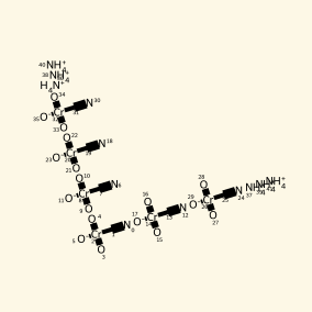 N#[C][Cr](=[O])(=[O])[O-].N#[C][Cr](=[O])(=[O])[O-].N#[C][Cr](=[O])(=[O])[O-].N#[C][Cr](=[O])(=[O])[O-].N#[C][Cr](=[O])(=[O])[O-].N#[C][Cr](=[O])(=[O])[O-].[NH4+].[NH4+].[NH4+].[NH4+].[NH4+].[NH4+]